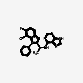 CC(Nc1ncnc2[nH]cnc12)c1nc2ccc(F)c(Cl)c2n1-c1ccccc1